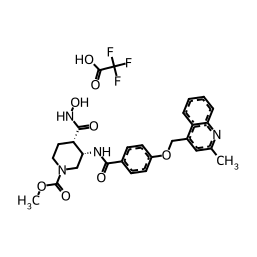 COC(=O)N1CC[C@H](C(=O)NO)[C@H](NC(=O)c2ccc(OCc3cc(C)nc4ccccc34)cc2)C1.O=C(O)C(F)(F)F